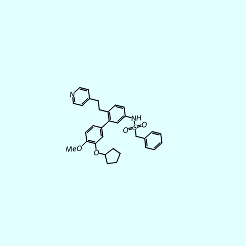 COc1ccc(-c2cc(NS(=O)(=O)Cc3ccccc3)ccc2CCc2ccncc2)cc1OC1CCCC1